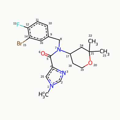 Cn1cnc(C(=O)N(Cc2ccc(F)c(Br)c2)C2CCOC(C)(C)C2)c1